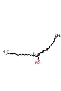 CCCCCCCCCCCCCCCCC(O)(CCCO)CCCCCCCCCCCCCCCC